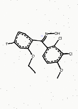 CCOc1cc(F)ccc1/C(=N/O)c1ccc(OC)c(Cl)c1Cl